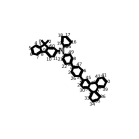 CC1(C)c2ccccc2-c2ccc(N(c3ccccc3)c3ccc(-c4ccc(-c5ccc6c7ccccc7c7ccccc7c6c5)cc4)cc3)cc21